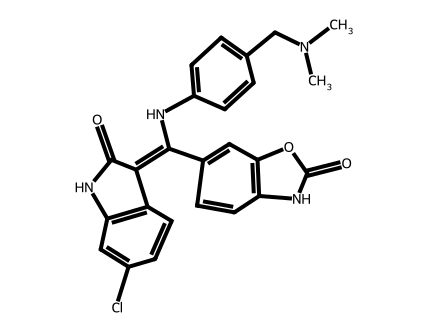 CN(C)Cc1ccc(N/C(=C2\C(=O)Nc3cc(Cl)ccc32)c2ccc3[nH]c(=O)oc3c2)cc1